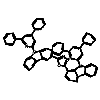 c1ccc(-c2cc(-c3ccccc3)nc(-n3c4ccccc4c4cc(-c5nnc(-c6cccc7c8ccccc8n(-c8cc(-c9ccccc9)cc(-c9ccccc9)n8)c67)o5)ccc43)c2)cc1